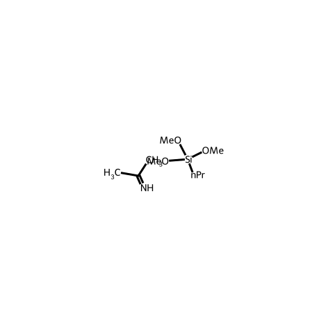 CC(C)=N.CCC[Si](OC)(OC)OC